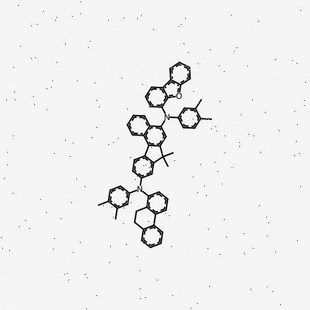 Cc1ccc(N(c2ccc3c(c2)C(C)(C)c2cc(N(c4ccc(C)c(C)c4)c4cccc5c4oc4ccccc45)c4ccccc4c2-3)c2cccc3c2CCc2ccccc2-3)cc1C